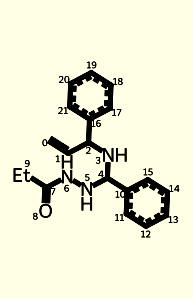 C=CC(NC(NNC(=O)CC)c1ccccc1)c1ccccc1